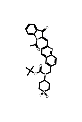 CC(=O)N1/C(=C\c2ccc3cc(CN(C(=O)OC(C)(C)C)C4CCS(=O)(=O)CC4)ccc3n2)C(=O)c2ccccc21